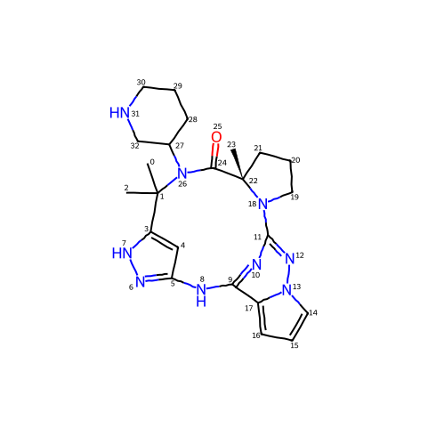 CC1(C)c2cc(n[nH]2)Nc2nc(nn3cccc23)N2CCC[C@@]2(C)C(=O)N1C1CCCNC1